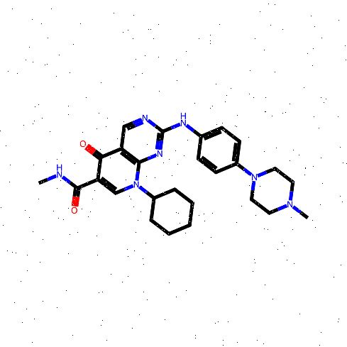 CNC(=O)c1cn(C2CCCCC2)c2nc(Nc3ccc(N4CCN(C)CC4)cc3)ncc2c1=O